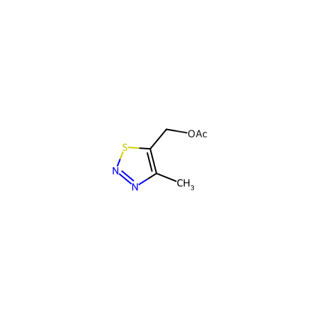 CC(=O)OCc1snnc1C